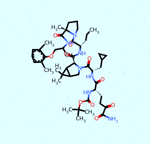 CCC[C@H](NC(=O)[C@@H]1C2C(CN1C(=O)[C@H](CC1CC1)NC(=O)[C@H](CCC(=O)C(N)=O)NC(=O)OC(C)(C)C)C2(C)C)C(=O)N1CCC[C@@]1(C)C(=O)NC(C)COc1c(C)cccc1C